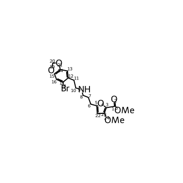 COC(=O)c1oc(CCCNCCc2cc3c(cc2Br)OCO3)cc1OC